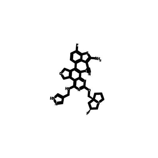 N#Cc1c(N)sc2c(F)ccc(-c3c4c(c5c(NCc6cn[nH]c6)nc(OC[C@@]67CCCN6C[C@H](F)C7)nc5c3Cl)COC4)c12